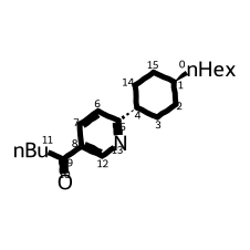 CCCCCC[C@H]1CC[C@H](c2ccc(C(=O)CCCC)cn2)CC1